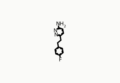 Nc1ccc(CCc2ccc(F)cc2)nn1